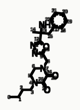 CCCCN1CCN(Cc2nnc(C(C)(N)Cc3ccccc3)o2)C(=O)C1=O